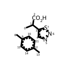 CC(C(=O)O)c1cnns1.Cc1ccc(C)cc1